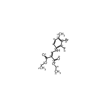 CCOC(=O)C(=CNc1ccc(C)c(Br)c1F)C(=O)OCC